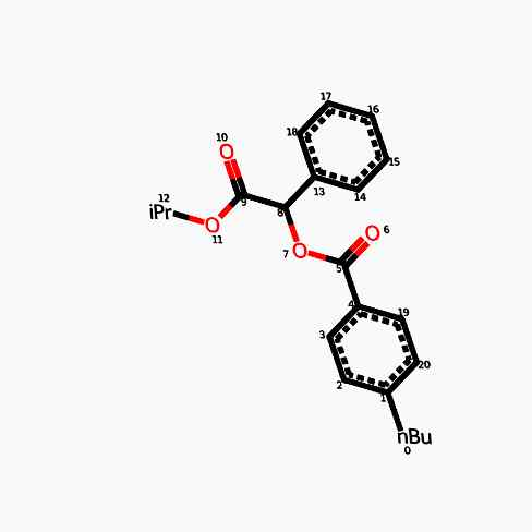 CCCCc1ccc(C(=O)OC(C(=O)OC(C)C)c2ccccc2)cc1